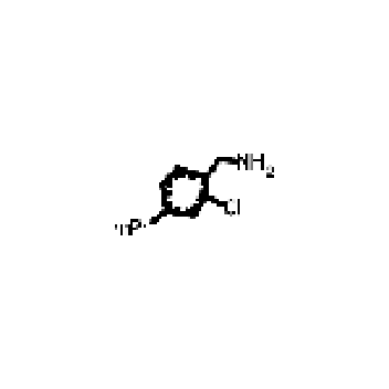 CC[CH]c1ccc(CN)c(Cl)c1